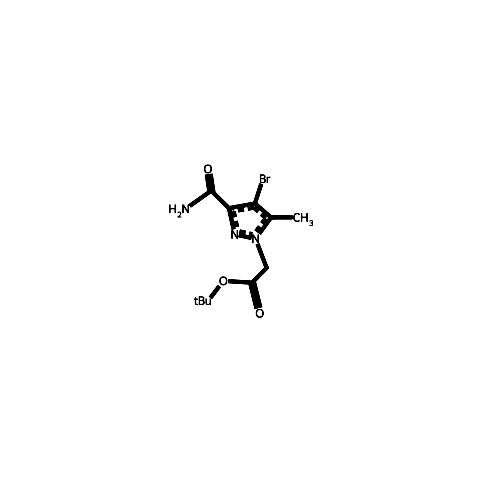 Cc1c(Br)c(C(N)=O)nn1CC(=O)OC(C)(C)C